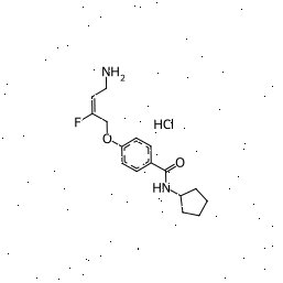 Cl.NC/C=C(/F)COc1ccc(C(=O)NC2CCCC2)cc1